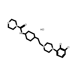 Cl.O=C(NC1CCC(CCN2CCN(c3cccc(Cl)c3Cl)CC2)CC1)N1CCOCC1